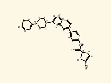 O=C(Nc1ccc(-c2ccc3ncc(N4CCN(c5ccncc5)CC4)nc3c2)cc1)C1CC=C(Cl)S1